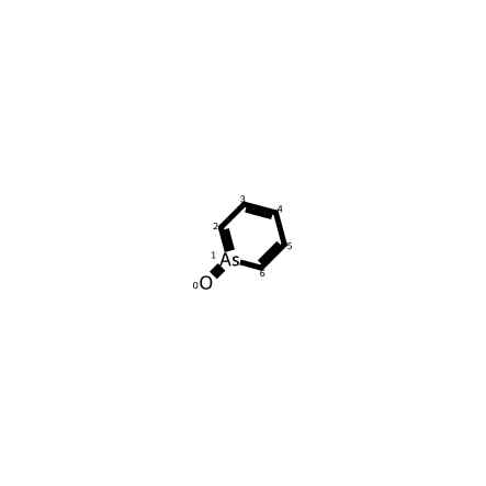 O=[As]1=CC=CC=C1